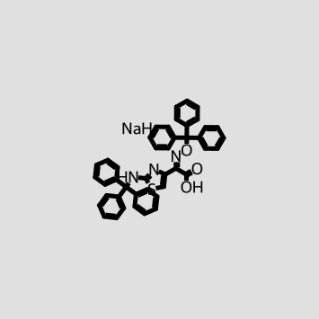 O=C(O)C(=NOC(c1ccccc1)(c1ccccc1)c1ccccc1)c1csc(NC(c2ccccc2)(c2ccccc2)c2ccccc2)n1.[NaH]